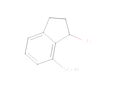 O=S(=O)(O)c1cccc2c1C(O)CC2